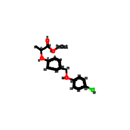 CCCCCCCCOC(=O)C(C)Oc1ccc(COc2ccc(Cl)cc2)cc1